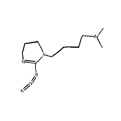 CN(C)CCCCN1CCN=C1N=[N+]=[N-]